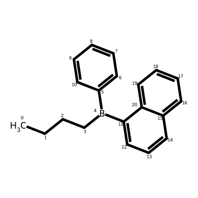 CCCCB(c1ccccc1)c1cccc2ccccc12